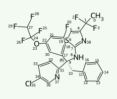 CC(F)(F)c1csc(N[C@](Cc2ccccc2)(c2cc(F)cc(OC(F)(F)C(F)F)c2)c2ccc(Cl)cn2)n1